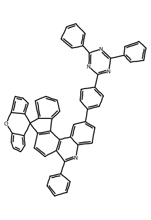 c1ccc(-c2nc(-c3ccccc3)nc(-c3ccc(-c4ccc5nc(-c6ccccc6)c6ccc7c(c6c5c4)-c4ccccc4C74c5ccccc5Oc5ccccc54)cc3)n2)cc1